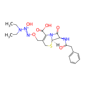 CCN(CC)/[N+](O)=N/OCC1=C(C(=O)O)N2C(=O)[C@@H](NC(=O)Cc3ccccc3)[C@H]2SC1